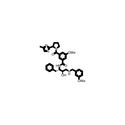 COc1cccc(CNC[C@@H](O)[C@H](Cc2ccccc2)NC(=O)c2cc(OC)cc(C(=O)N3CCCC3c3nc(C)cs3)c2)c1